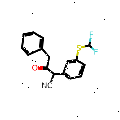 N#CC(C(=O)Cc1ccccc1)c1cccc(SC(F)F)c1